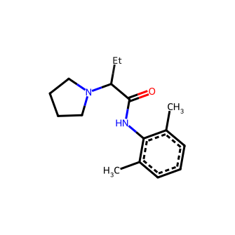 CCC(C(=O)Nc1c(C)cccc1C)N1CCCC1